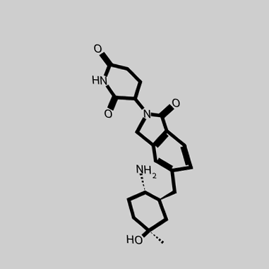 C[C@]1(O)CC[C@H](N)[C@@H](Cc2ccc3c(c2)CN(C2CCC(=O)NC2=O)C3=O)C1